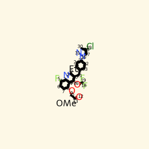 CCc1nc2c(F)ccc(OCC(=O)OC)c2c(OC(F)F)c1Cc1ccc(-n2cc(Cl)cn2)cc1